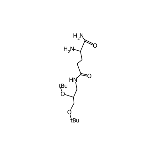 CC(C)(C)OCC(CNC(=O)CCC(N)C(N)=O)OC(C)(C)C